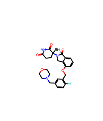 BC1(N2Cc3c(OCc4cc(CN5CCOCC5)ccc4F)cccc3C2=O)CCC(=O)NC1=O